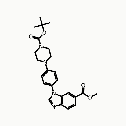 COC(=O)c1ccc2ncn(-c3ccc(N4CCN(C(=O)OC(C)(C)C)CC4)cc3)c2c1